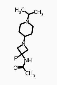 CC(=O)NC1(F)CN(C2CCN(C(C)C)CC2)C1